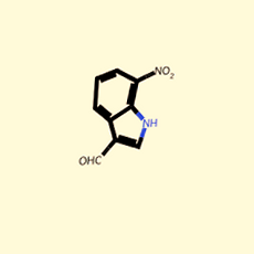 O=Cc1c[nH]c2c([N+](=O)[O-])cccc12